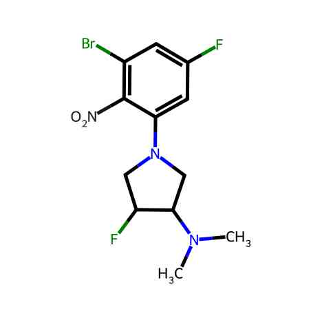 CN(C)C1CN(c2cc(F)cc(Br)c2[N+](=O)[O-])CC1F